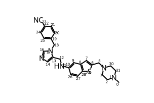 CN1CCN(Cc2cc3cc(NCc4cncn4Cc4ccc(C#N)cc4)ccc3s2)CC1